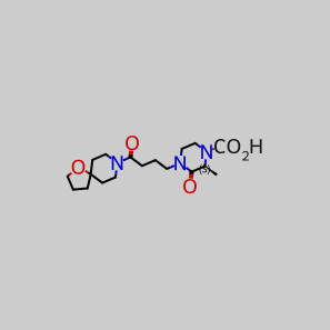 C[C@H]1C(=O)N(CCCC(=O)N2CCC3(CCCO3)CC2)CCN1C(=O)O